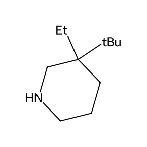 CCC1(C(C)(C)C)CCCNC1